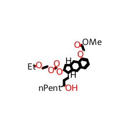 CCCCC[C@H](O)CC[C@@H]1[C@H]2Cc3cccc(OCC(=O)OC)c3C[C@H]2C[C@H]1OC(=O)OCCOCC